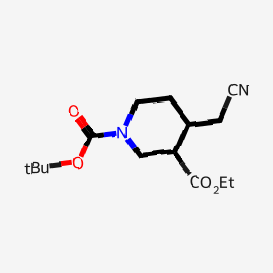 CCOC(=O)C1CN(C(=O)OC(C)(C)C)CCC1CC#N